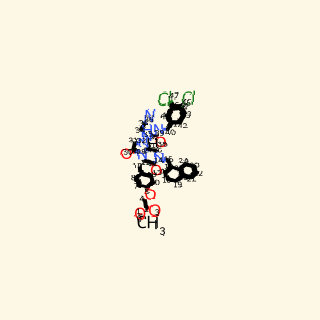 COC(=O)COC1C=CC(C[C@H]2C(=O)N(CC3=CCCc4ccccc43)C[C@H]3N2C(=O)CN3N(CC#N)C(=O)NCc2ccc(Cl)c(Cl)c2)=CC1